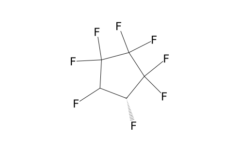 FC1[C@@H](F)C(F)(F)C(F)(F)C1(F)F